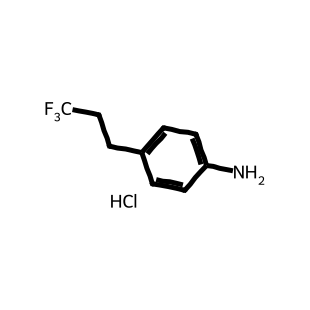 Cl.Nc1ccc(CCC(F)(F)F)cc1